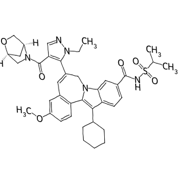 CCn1ncc(C(=O)N2C[C@@H]3C[C@H]2CO3)c1C1=Cc2cc(OC)ccc2-c2c(C3CCCCC3)c3ccc(C(=O)NS(=O)(=O)C(C)C)cc3n2C1